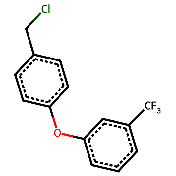 FC(F)(F)c1cccc(Oc2ccc(CCl)cc2)c1